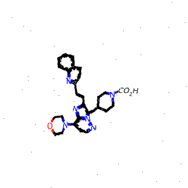 O=C(O)N1CCC(c2c(/C=C/c3ccc4ccccc4n3)nc3c(N4CCOCC4)ccnn23)CC1